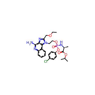 CCOCc1nc2c(N)nc3ccccc3c2n1CCO[P@](=O)(N[C@@H](C)C(=O)OC(C)C)Oc1ccc(Cl)cc1